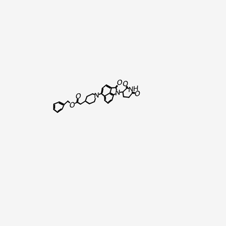 O=C1CCC(N2C(=O)c3ccc(N4CCC(CC(=O)OCc5ccccc5)CC4)c4cccc2c34)C(=O)N1